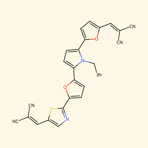 CC(C)Cn1c(-c2ccc(C=C(C#N)C#N)o2)ccc1-c1ccc(-c2ncc(C=C(C#N)C#N)s2)o1